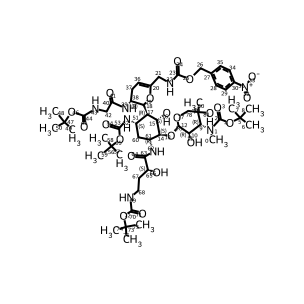 CN(C(=O)OC(C)(C)C)[C@@H]1[C@@H](O)[C@@H](O[C@@H]2[C@@H](O)[C@H](C3OC(CNC(=O)OCc4ccc([N+](=O)[O-])cc4)=CC[C@H]3NC(=O)CNC(=O)OC(C)(C)C)[C@@H](NC(=O)OC(C)(C)C)C[C@H]2NC(=O)[C@@H](O)CCNC(=O)OC(C)(C)C)OC[C@]1(C)O